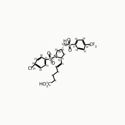 O=C(O)CCCC=C[C@@H]1C[C@@H](NS(=O)(=O)c2ccc(C(F)(F)F)cc2)CN1S(=O)(=O)c1ccc(Cl)cc1